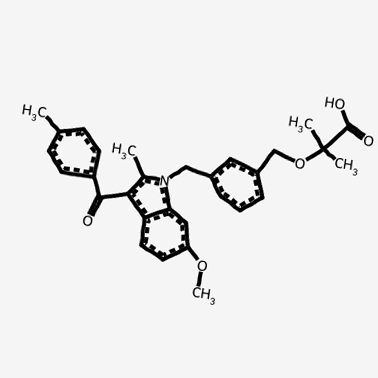 COc1ccc2c(C(=O)c3ccc(C)cc3)c(C)n(Cc3cccc(COC(C)(C)C(=O)O)c3)c2c1